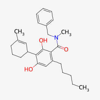 CCCCCc1cc(O)c(C2C=C(C)CCC2)c(O)c1C(=O)N(C)Cc1ccccc1